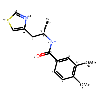 COc1ccc(C(=O)N[C@@H](Cc2cscn2)C(C)C)cc1OC